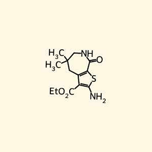 CCOC(=O)c1c(N)sc2c1CC(C)(C)CNC2=O